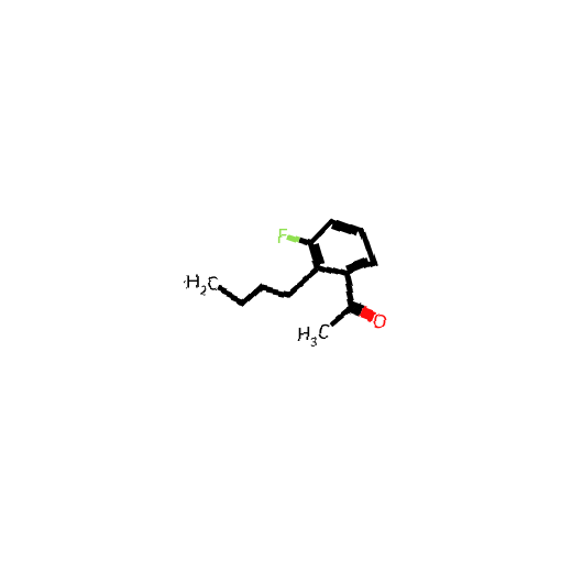 [CH2]CCCc1c(F)cccc1C(C)=O